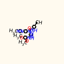 C#Cc1ccc(NC(=O)N(c2ccc(N3CCN(C)CC3)cc2)c2cc(Nc3ccc(OC)cc3OC)ncn2)cc1